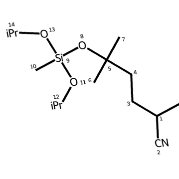 CC(C#N)CCC(C)(C)O[Si](C)(OC(C)C)OC(C)C